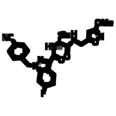 COc1cc(CNC(=O)[C@@H](NC(=O)c2nn(Cc3ccc(C#N)cc3)c3cc(F)ccc23)C(C)(C)C)on1